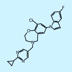 Fc1ccc2c(ccn2-c2cc(Cl)c3c(c2)CN(Cc2cnc(C4CC4)nc2)CCO3)c1